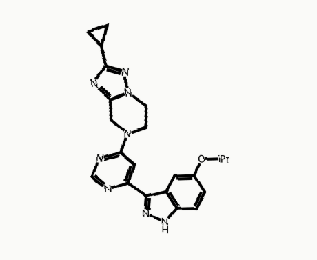 CC(C)Oc1ccc2[nH]nc(-c3cc(N4CCn5nc(C6CC6)nc5C4)ncn3)c2c1